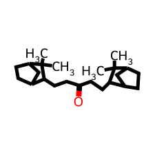 CC1(C)C2CCC(C2)C1CCC(=O)CCC1C2CCC(C2)C1(C)C